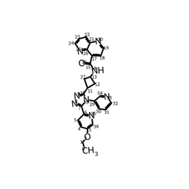 CCOc1ccc(-c2nnc(C3CC(NC(=O)c4ccnc5cccnc45)C3)n2-c2cccnc2)nc1